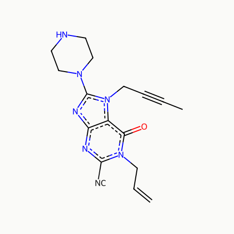 [C-]#[N+]c1nc2nc(N3CCNCC3)n(CC#CC)c2c(=O)n1CC=C